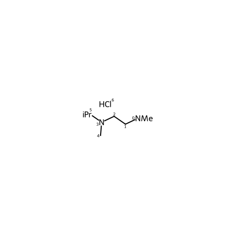 CNCCN(C)C(C)C.Cl